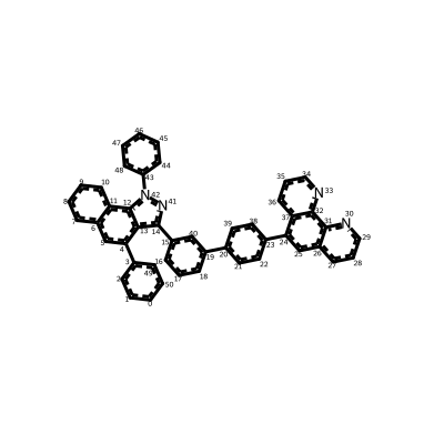 c1ccc(-c2cc3ccccc3c3c2c(-c2cccc(-c4ccc(-c5cc6cccnc6c6ncccc56)cc4)c2)nn3-c2ccccc2)cc1